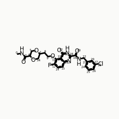 CNC(=O)C1COC(CCOc2c(F)ccc3nc(C(=O)NCc4cccc(Cl)c4)[nH]c(=O)c23)CO1